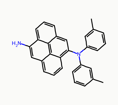 Cc1cccc(N(c2cccc(C)c2)c2cc3cccc4c(N)cc5cccc2c5c34)c1